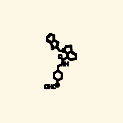 O=COC1CCC(CNC(=O)c2cccc3ccn(Cc4cc5ccccc5s4)c23)CC1